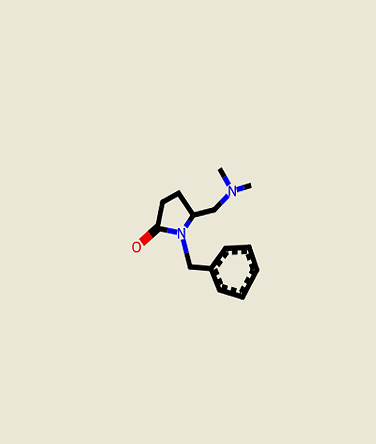 CN(C)CC1CCC(=O)N1Cc1ccccc1